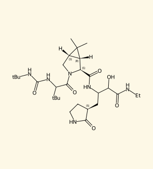 CCNC(=O)C(O)C(C[C@@H]1CCNC1=O)NC(=O)[C@@H]1[C@@H]2[C@H](CN1C(=O)C(NC(=O)NC(C)(C)C)C(C)(C)C)C2(C)C